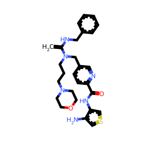 C=C(NCc1ccccc1)N(CCCN1CCOCC1)Cc1ccc(C(=O)Nc2cscc2N)nc1